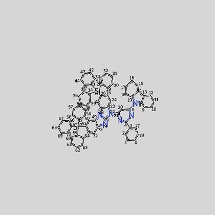 c1ccc(-c2nc(-n3c4ccccc4c4ccccc43)cc(-n3c4ccc([Si](c5ccccc5)(c5ccccc5)c5ccccc5)cc4n4c5cc([Si](c6ccccc6)(c6ccccc6)c6ccccc6)ccc5nc34)n2)cc1